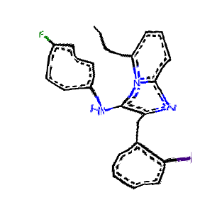 CCc1cccc2nc(-c3ccccc3I)c(Nc3ccc(F)cc3)n12